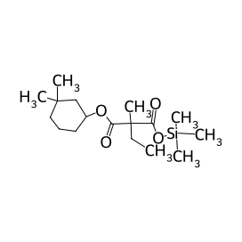 CCC(C)(C(=O)OC1CCCC(C)(C)C1)C(=O)O[Si](C)(C)C